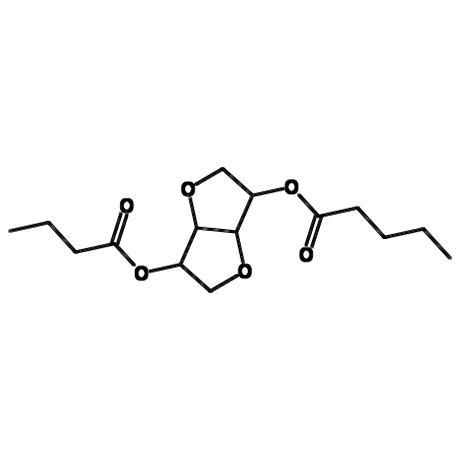 CCCCC(=O)OC1COC2C(OC(=O)CCC)COC12